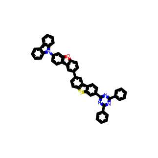 c1ccc(-c2nc(-c3ccccc3)nc(-c3ccc4c(c3)sc3ccc(-c5ccc6oc7cc(-n8c9ccccc9c9ccccc98)ccc7c6c5)cc34)n2)cc1